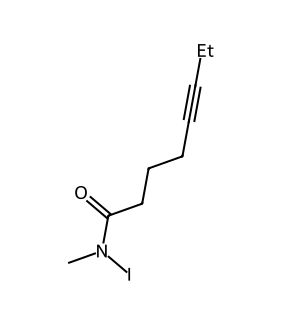 CCC#CCCCC(=O)N(C)I